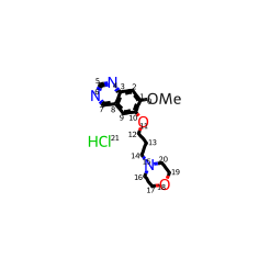 COc1cc2ncncc2cc1OCCCN1CCOCC1.Cl